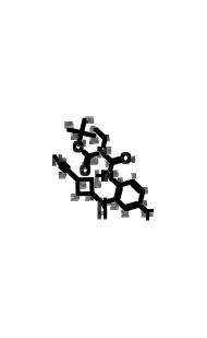 CCN(C(=O)Nc1ccc(F)cc1NC1CC(C#N)C1)C(=O)OC(C)(C)C